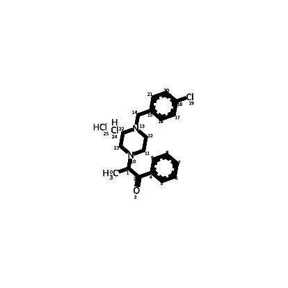 CC(C(=O)c1ccccc1)N1CCN(Cc2ccc(Cl)cc2)CC1.Cl.Cl